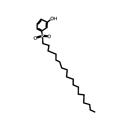 CCCCCCCCCCCCCCCCCCS(=O)(=O)c1cccc(O)c1